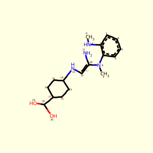 CNc1ccccc1N(C)/C(N)=C/NC1CCC(C(O)O)CC1